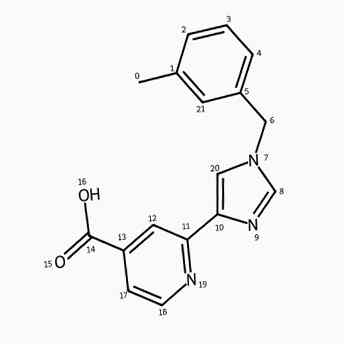 Cc1cccc(Cn2cnc(-c3cc(C(=O)O)ccn3)c2)c1